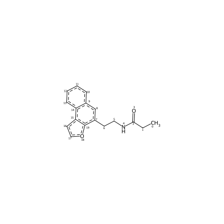 CCC(=O)NCCc1cc2ccccc2c2ccoc12